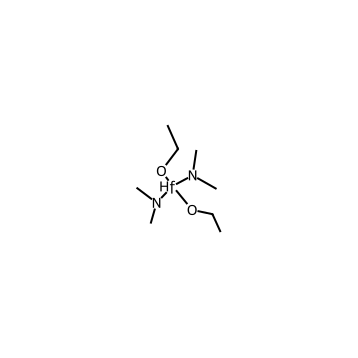 CC[O][Hf]([O]CC)([N](C)C)[N](C)C